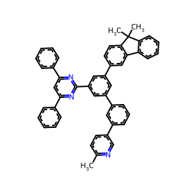 Cc1ccc(-c2cccc(-c3cc(-c4ccc5c(c4)-c4ccccc4C5(C)C)cc(-c4nc(-c5ccccc5)cc(-c5ccccc5)n4)c3)c2)cn1